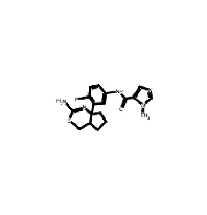 Cn1cncc1C(=O)Nc1ccc(F)c(C23CCCC2CSC(N)=N3)c1